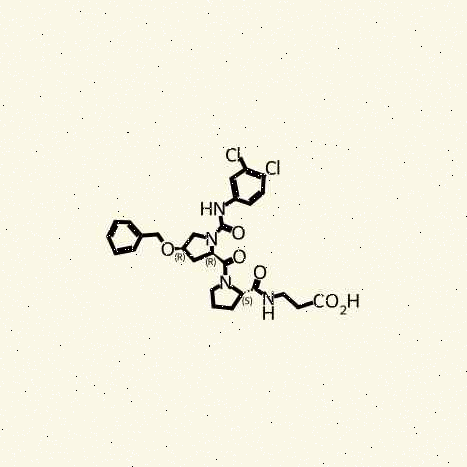 O=C(O)CCNC(=O)[C@@H]1CCCN1C(=O)[C@H]1C[C@@H](OCc2ccccc2)CN1C(=O)Nc1ccc(Cl)c(Cl)c1